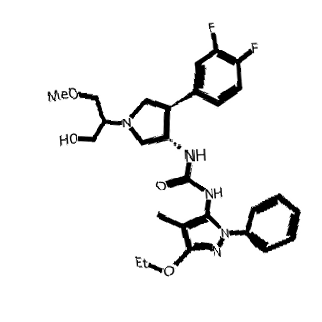 CCOc1nn(-c2ccccc2)c(NC(=O)N[C@@H]2CN(C(CO)COC)C[C@H]2c2ccc(F)c(F)c2)c1C